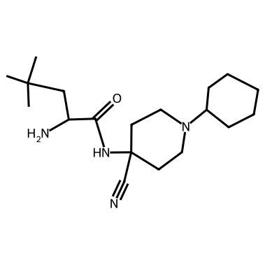 CC(C)(C)CC(N)C(=O)NC1(C#N)CCN(C2CCCCC2)CC1